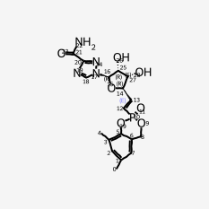 Cc1cc(C)c2c(c1)COP(=O)(/C=C/[C@H]1O[C@@H](n3cnc(C(N)=O)n3)[C@H](O)[C@@H]1O)O2